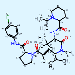 C/C(=C\[C@H](C(C)C)N(C)C(=O)[C@@H](NC(=O)C1CCCCN1C(C)C)C(C)(C)C)C(=O)N1CCC[C@H]1C(=O)Nc1ccc(F)cc1